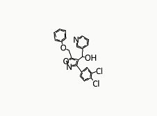 OC(c1cccnc1)c1c(-c2ccc(Cl)c(Cl)c2)noc1COc1ccccc1